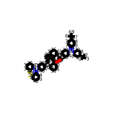 CC(C)(C)c1ccc(N(c2ccc(B3c4ccccc4C4(c5ccccc5B(c5ccc(N6c7ccccc7Sc7ccccc76)cc5)C5C=CC=CC54)C4C=CC=CC34)cc2)c2ccc(C(C)(C)C)cc2)cc1